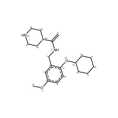 C=C(NCc1cc(OC)ccc1OC1CCCCC1)N1CCNCC1